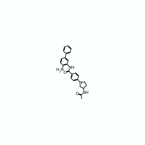 CC(=O)NC1CCN(c2ccc(C(=O)Nc3cc(-c4ccccc4)ccc3N)cc2)C1